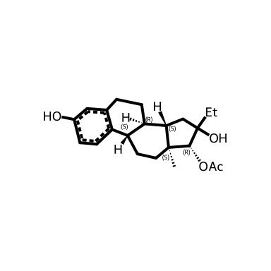 CCC1(O)C[C@H]2[C@@H]3CCc4cc(O)ccc4[C@H]3CC[C@]2(C)[C@H]1OC(C)=O